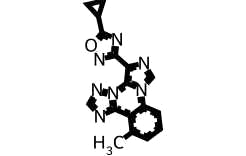 Cc1cccc2c1c1ncnn1c1c(-c3noc(C4CC4)n3)ncn21